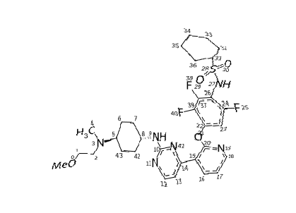 COCCN(C)[C@H]1CC[C@H](Nc2nccc(-c3cccnc3Oc3cc(F)c(NS(=O)(=O)C4CCCCC4)c(F)c3F)n2)CC1